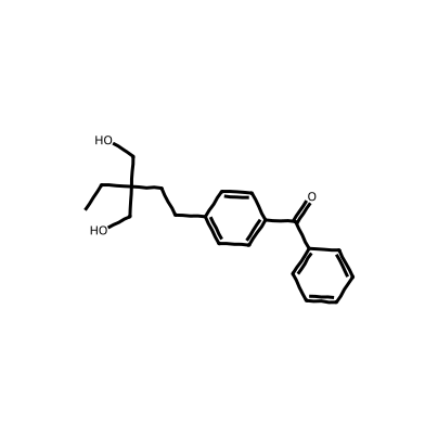 CCC(CO)(CO)CCc1ccc(C(=O)c2ccccc2)cc1